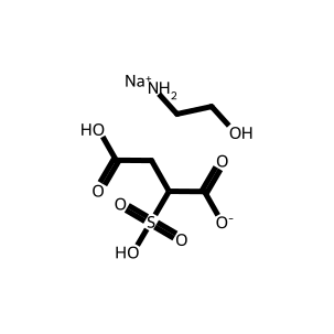 NCCO.O=C(O)CC(C(=O)[O-])S(=O)(=O)O.[Na+]